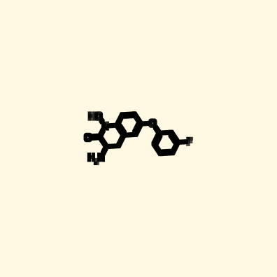 NC1Cc2cc(Oc3cccc(F)c3)ccc2N(O)C1=O